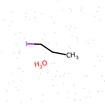 CCCI.O